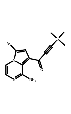 CS(C)(C)C#CC(=O)c1cc(Br)n2ccnc(N)c12